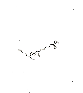 CCCCCC(CC)O[SiH2]CCCCCCCC(=O)O